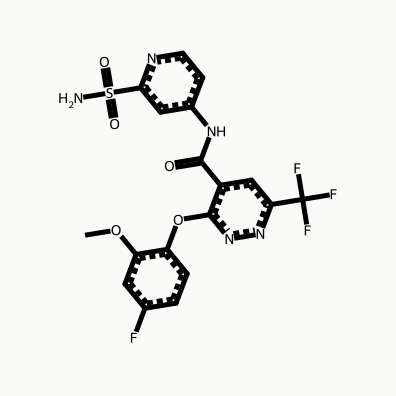 COc1cc(F)ccc1Oc1nnc(C(F)(F)F)cc1C(=O)Nc1ccnc(S(N)(=O)=O)c1